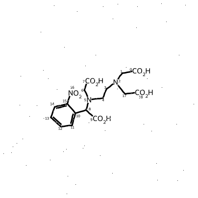 O=C(O)CN(CCN(CC(=O)O)C(C(=O)O)c1ccccc1[N+](=O)[O-])CC(=O)O